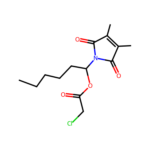 CCCCCC(OC(=O)CCl)N1C(=O)C(C)=C(C)C1=O